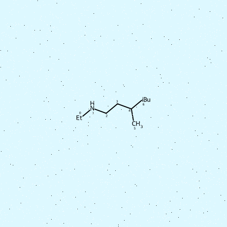 CCNCCC(C)C(C)CC